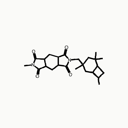 CC1CC2C1CC(C)(CN1C(=O)C3CC4C(=O)N(C)C(=O)C4CC3C1=O)CC2(C)C